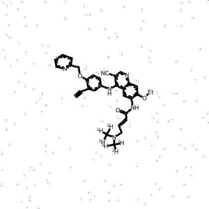 [2H]C([2H])([2H])N(C/C=C/C(=O)Nc1cc2c(Nc3ccc(OCc4ccccn4)c(C#C)c3)c(C#N)cnc2cc1OCC)C([2H])([2H])[2H]